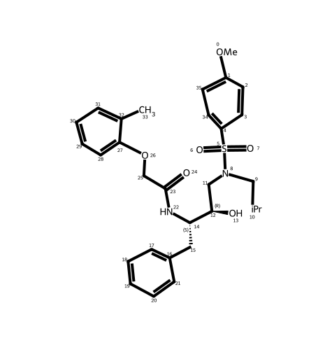 COc1ccc(S(=O)(=O)N(CC(C)C)C[C@@H](O)[C@H](Cc2ccccc2)NC(=O)COc2ccccc2C)cc1